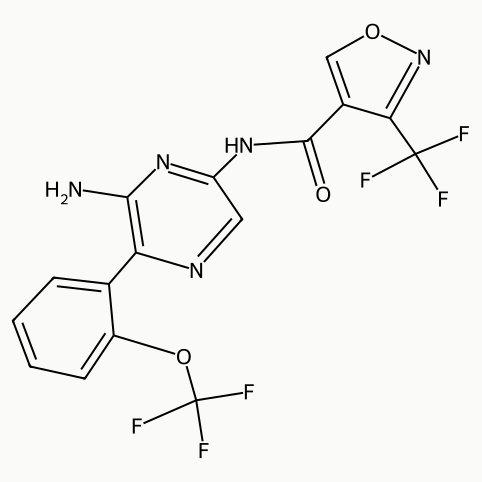 Nc1nc(NC(=O)c2conc2C(F)(F)F)cnc1-c1ccccc1OC(F)(F)F